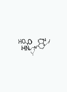 C[C@H]1C[C@@H](NC(=O)O)CN(c2ccc(I)c3ncccc23)C1